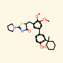 COc1cc(-c2ccc(O)c(C3(C)CCCCC3)c2)cc(CC2SC(N3CCCC3)=NC2=O)c1OC